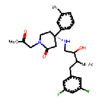 COC(=O)CN1CC[C@@](NCC(O)C(Cc2cc(F)cc(F)c2)NC(C)=O)(c2cccc(C(C)C)c2)CC1=O